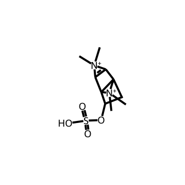 C[N+]1(C)C2=C1C13C(OS(=O)(=O)O)CC21[N+]3(C)C